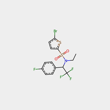 CCN(C(c1ccc(F)cc1)C(F)(F)F)S(=O)(=O)c1ccc(Br)s1